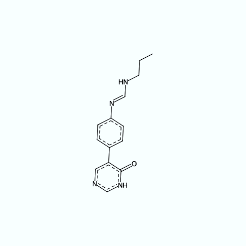 CCCNC=Nc1ccc(-c2cnc[nH]c2=O)cc1